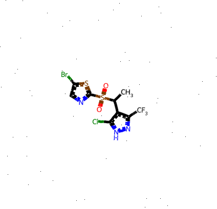 CC(c1c(C(F)(F)F)n[nH]c1Cl)S(=O)(=O)c1ncc(Br)s1